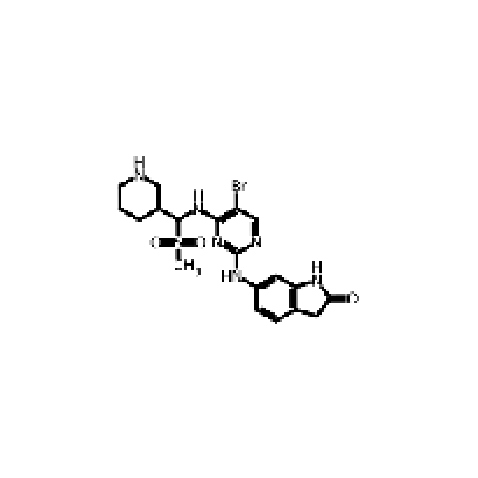 CS(=O)(=O)C(Nc1nc(Nc2ccc3c(c2)NC(=O)C3)ncc1Br)C1CCCNC1